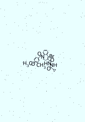 COc1ccc(C(=O)N2CCC(C(=O)NNC(=O)C3CC3)=C(Br)c3ccccc32)cc1C